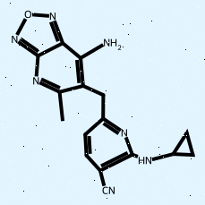 Cc1nc2nonc2c(N)c1Cc1ccc(C#N)c(NC2CC2)n1